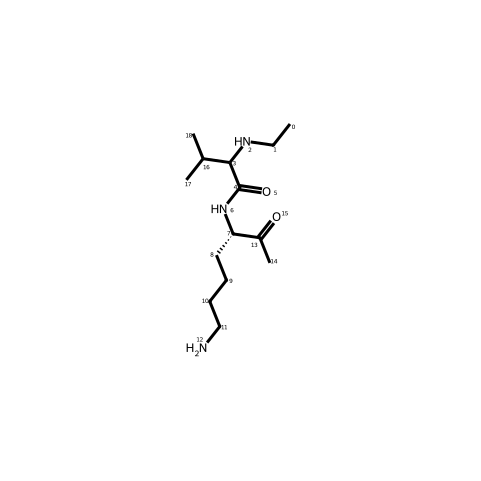 CCNC(C(=O)N[C@@H](CCCCN)C(C)=O)C(C)C